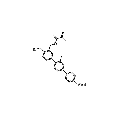 C=C(C)C(=O)OCc1cc(-c2ccc(-c3ccc(CCCCC)cc3)cc2C)ccc1CO